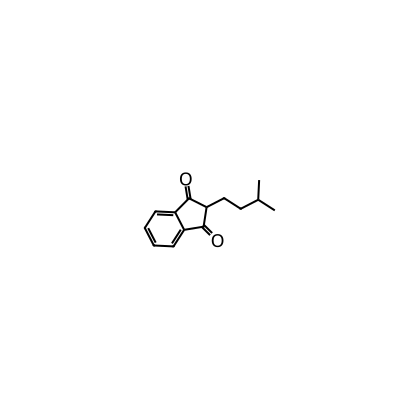 CC(C)CCC1C(=O)c2ccccc2C1=O